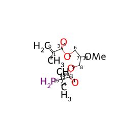 C=C(C)C(=O)OCC(COC(=O)C(C)(C)P)OC